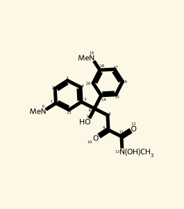 CNc1cccc(C(O)(CC(=O)C(=O)N(C)O)c2cccc(NC)c2)c1